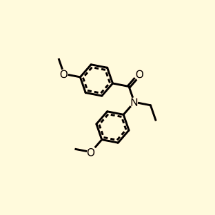 CCN(C(=O)c1ccc(OC)cc1)c1ccc(OC)cc1